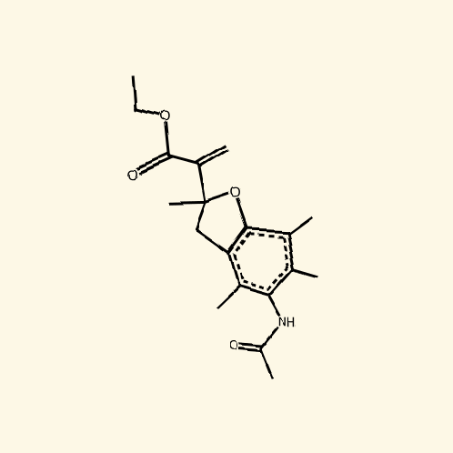 C=C(C(=O)OCC)C1(C)Cc2c(C)c(NC(C)=O)c(C)c(C)c2O1